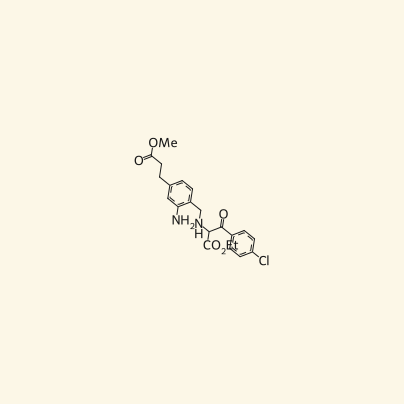 CCOC(=O)C(NCc1ccc(CCC(=O)OC)cc1N)C(=O)c1ccc(Cl)cc1